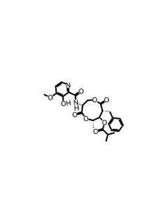 COc1ccnc(C(=O)N[C@@H]2COC(=O)[C@H](Cc3ccccc3)[C@@H](OC(=O)C(C)C)[C@H](C)OC2=O)c1O